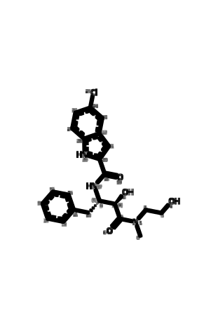 CN(CCO)C(=O)[C@H](O)[C@H](Cc1ccccc1)NC(=O)c1cc2cc(Cl)ccc2[nH]1